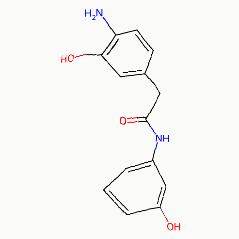 Nc1ccc(CC(=O)Nc2cccc(O)c2)cc1O